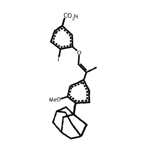 COc1cc(C(C)=COc2cc(C(=O)O)ccc2I)ccc1C12CC3CC(CC(C3)C1)C2